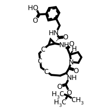 CC(C)(C)OC(=O)N[C@H]1CCCCCCCC2C[C@@]2(C(=O)NCc2cccc(C(=O)O)c2)NC(=O)[C@@H]2CCCN2C1=O